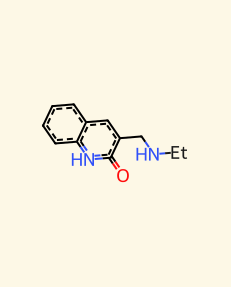 CCNCc1cc2ccccc2[nH]c1=O